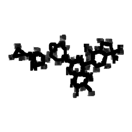 Cc1nc2nc(N3C[C@@H](C)O[C@@H](c4cnn(C5CC5)c4)C3)nc(-c3ccc4c(c3F)C=CC4(F)F)c2nc1C